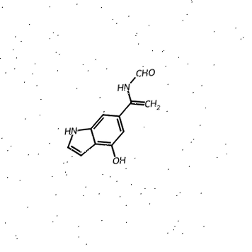 C=C(NC=O)c1cc(O)c2cc[nH]c2c1